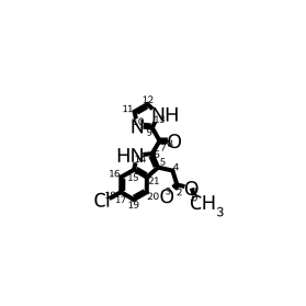 COC(=O)Cc1c(C(=O)c2ncc[nH]2)[nH]c2cc(Cl)ccc12